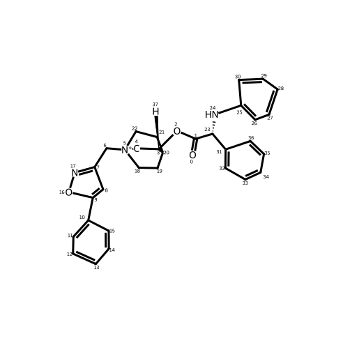 O=C(O[C@H]1C[N+]2(Cc3cc(-c4ccccc4)on3)CCC1CC2)[C@H](Nc1ccccc1)c1ccccc1